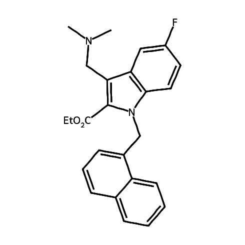 CCOC(=O)c1c(CN(C)C)c2cc(F)ccc2n1Cc1cccc2ccccc12